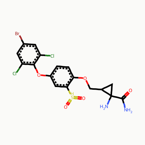 NC(=O)C1(N)CC1COc1ccc(Oc2c(Cl)cc(Br)cc2Cl)cc1[SH](=O)=O